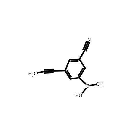 CC#Cc1cc(C#N)cc(B(O)O)c1